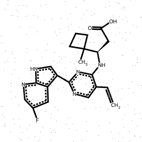 C=Cc1cnc(-c2c[nH]c3ncc(F)cc23)nc1N[C@H](CC(=O)O)C1(C)CCC1